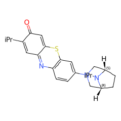 CC(C)c1cc2nc3ccc(N4C[C@H]5CC[C@@H](C4)N5C(C)C)cc3sc-2cc1=O